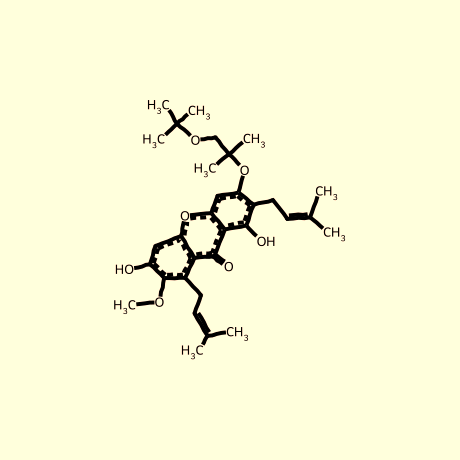 COc1c(O)cc2oc3cc(OC(C)(C)COC(C)(C)C)c(CC=C(C)C)c(O)c3c(=O)c2c1CC=C(C)C